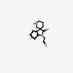 O=CCN1C(=O)C2(CCCNC2)c2ccccc21